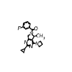 CC1c2c(nc(C3CC3)nc2N2CCC2)CN1C(=O)c1cccc(F)c1